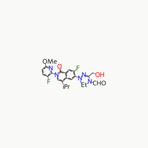 CCN(C=O)/C(CO)=N\N(C)c1cc2c(C(C)C)cn(-c3nc(OC)ccc3F)c(=O)c2cc1F